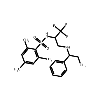 CCC(NCC(NS(=O)(=O)c1c(C)cc(C)cc1C)C(F)(F)F)c1ccccc1